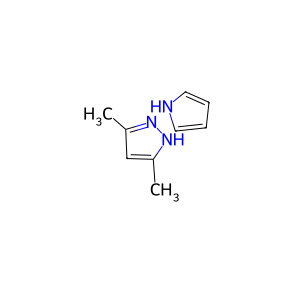 Cc1cc(C)[nH]n1.c1cc[nH]c1